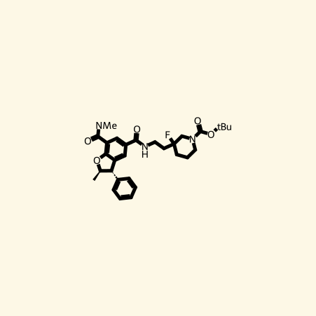 CNC(=O)c1cc(C(=O)NCCC2(F)CCCN(C(=O)OC(C)(C)C)C2)cc2c1O[C@H](C)[C@H]2c1ccccc1